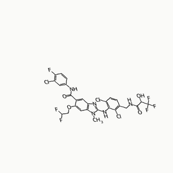 Cn1c(Nc2c(Cl)ccc(CNC(=O)C(O)C(F)(F)F)c2Cl)nc2cc(C(=O)Nc3ccc(F)c(Cl)c3)c(OCC(F)F)cc21